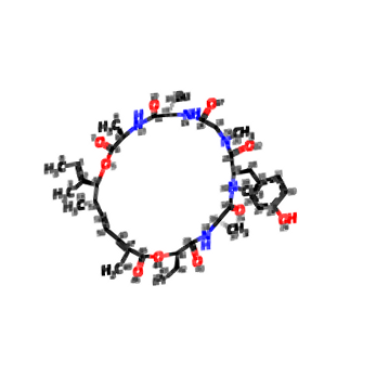 C/C=C(\C)[C@H]1OC(=O)[C@@H](C)NC(=O)[C@H](C(C)CC)NC(=O)CN(C)C(=O)[C@@H](Cc2ccc(O)cc2)N(C)C(=O)[C@H](C)NC(=O)[C@@H](CC(C)C)OC(=O)/C(C)=C/C=C/[C@@H]1C